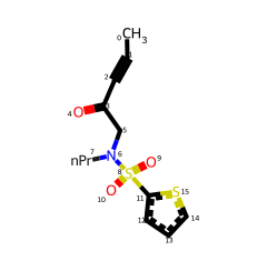 CC#CC(=O)CN(CCC)S(=O)(=O)c1cccs1